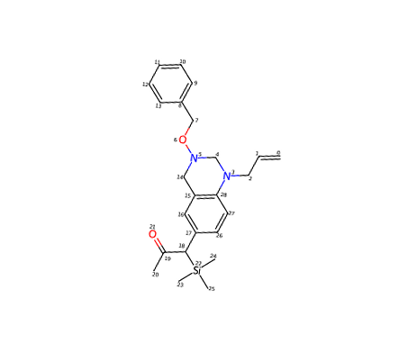 C=CCN1CN(OCc2ccccc2)Cc2cc(C(C(C)=O)[Si](C)(C)C)ccc21